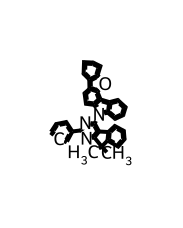 CC1(C)c2ccccc2-c2c(-n3c4ccccc4c4c5oc6ccccc6c5ccc43)nc(-c3ccccc3)nc21